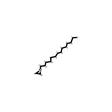 CCCCCCCCCCCCCCN1CC1